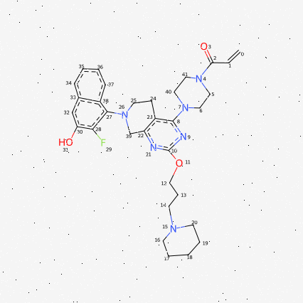 C=CC(=O)N1CCN(c2nc(OCCCN3CCCCC3)nc3c2CCN(c2c(F)c(O)cc4ccccc24)C3)CC1